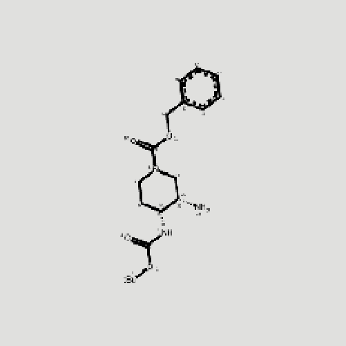 CC(C)(C)OC(=O)N[C@@H]1CCN(C(=O)OCc2ccccc2)C[C@@H]1N